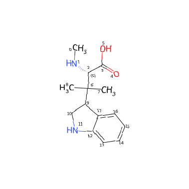 CN[C@H](C(=O)O)C(C)(C)C1CNc2ccccc21